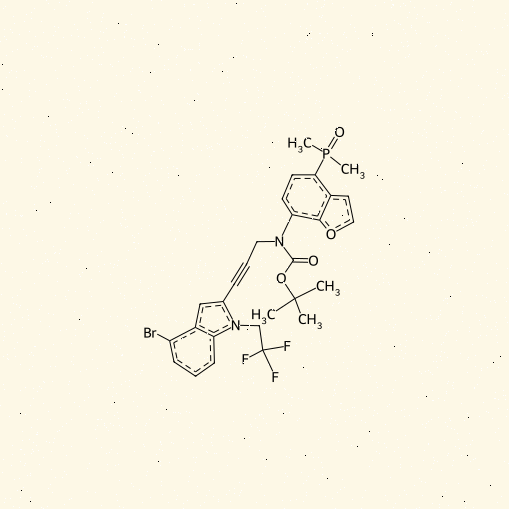 CC(C)(C)OC(=O)N(CC#Cc1cc2c(Br)cccc2n1CC(F)(F)F)c1ccc(P(C)(C)=O)c2ccoc12